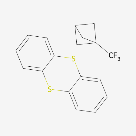 FC(F)(F)C12CC(C1)C2.c1ccc2c(c1)Sc1ccccc1S2